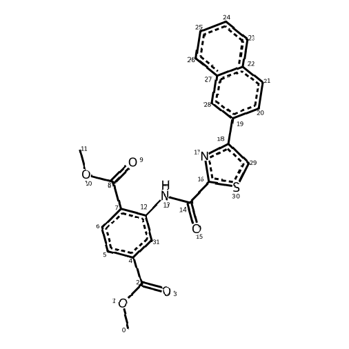 COC(=O)c1ccc(C(=O)OC)c(NC(=O)c2nc(-c3ccc4ccccc4c3)cs2)c1